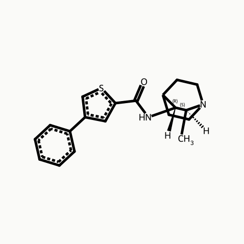 C[C@H]1[C@H](NC(=O)c2cc(-c3ccccc3)cs2)C2CCN1CC2